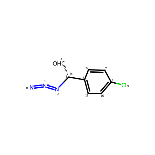 [N-]=[N+]=N[C@H](C=O)c1ccc(Cl)cc1